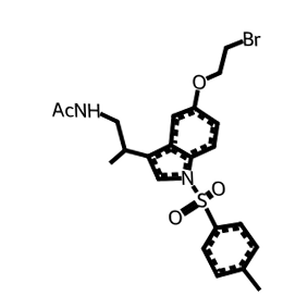 CC(=O)NCC(C)c1cn(S(=O)(=O)c2ccc(C)cc2)c2ccc(OCCBr)cc12